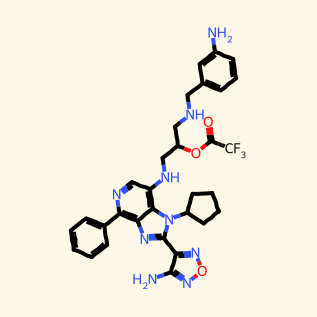 Nc1cccc(CNCC(CNc2cnc(-c3ccccc3)c3nc(-c4nonc4N)n(C4CCCC4)c23)OC(=O)C(F)(F)F)c1